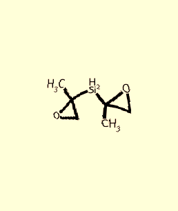 CC1([SiH2]C2(C)CO2)CO1